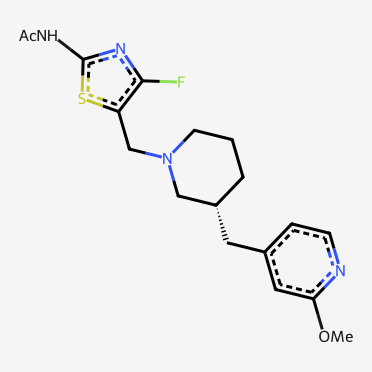 COc1cc(C[C@H]2CCCN(Cc3sc(NC(C)=O)nc3F)C2)ccn1